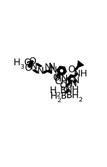 BC(B)(B)NC(=O)c1nnc(NC(=O)C2CC2)cc1Nc1cccc(-n2cc(CN3CCN(S(C)(=O)=O)CC3)nn2)c1OC